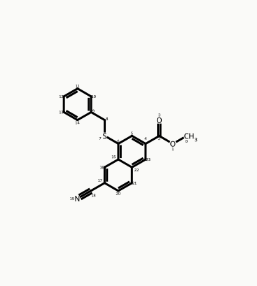 COC(=O)c1cc(SCc2ccccc2)c2cc(C#N)ccc2c1